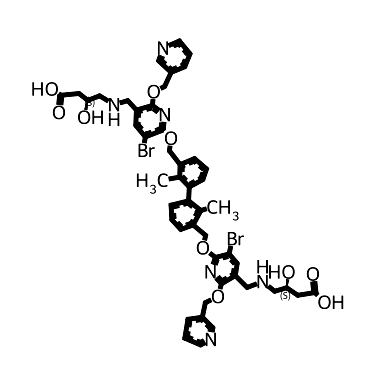 Cc1c(COc2nc(OCc3cccnc3)c(CNC[C@@H](O)CC(=O)O)cc2Br)cccc1-c1cccc(COc2nc(OCc3cccnc3)c(CNC[C@@H](O)CC(=O)O)cc2Br)c1C